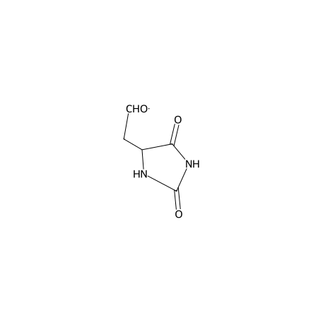 O=[C]CC1NC(=O)NC1=O